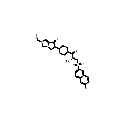 O=C([C@H](O)CS(=O)(=O)c1ccc2cc(Cl)ccc2c1)N1CCC(N2CN3CN(CF)C=C3C2=O)CC1